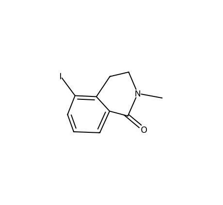 CN1CCc2c(I)cccc2C1=O